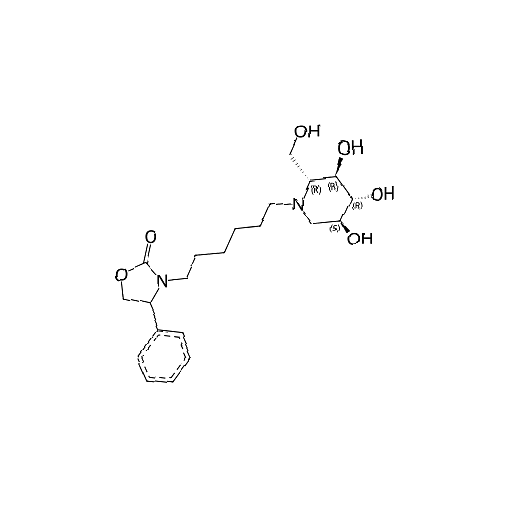 O=C1OCC(c2ccccc2)N1CCCCCCN1C[C@H](O)[C@@H](O)[C@H](O)[C@H]1CO